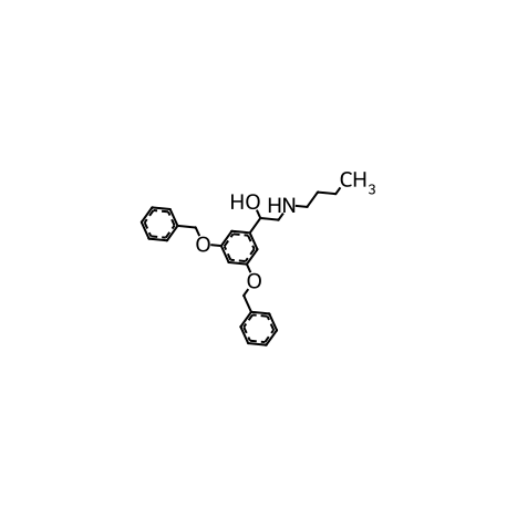 CCCCNCC(O)c1cc(OCc2ccccc2)cc(OCc2ccccc2)c1